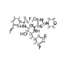 C#Cc1cccc(C2(NC[C@@H](O)[C@H](Cc3cc(F)cc(F)c3)NC(=O)c3sc(N4CCOCC4)nc3C(F)(F)F)CC2)c1